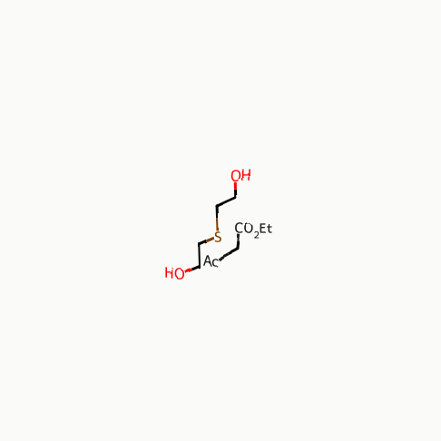 CCOC(=O)CC(C)=O.OCCSCCO